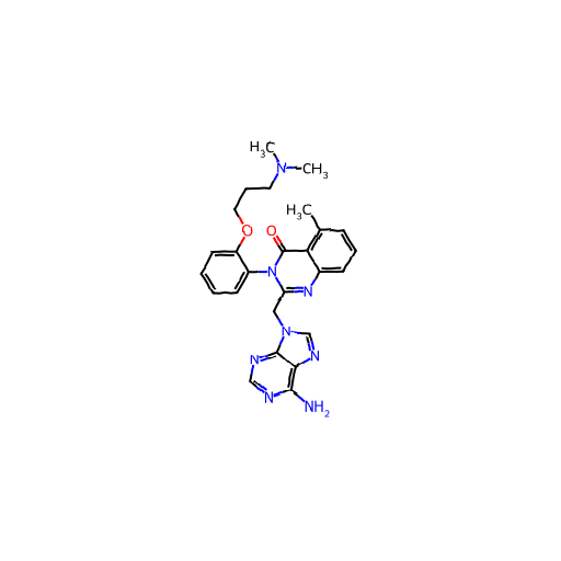 Cc1cccc2nc(Cn3cnc4c(N)ncnc43)n(-c3ccccc3OCCCN(C)C)c(=O)c12